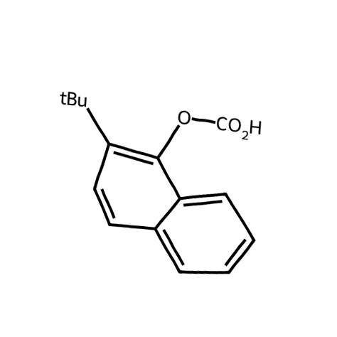 CC(C)(C)c1ccc2ccccc2c1OC(=O)O